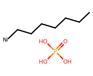 CCCCCC[CH2][Ni].O=P(O)(O)O